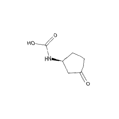 O=C1CC[C@H](NC(=O)O)C1